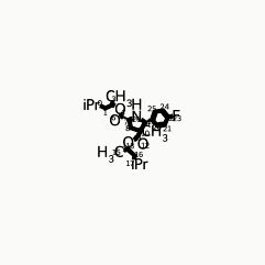 CC(C)CC(C)OC(=O)[C@@H]1C[C@](C)(C(=O)OC(C)CC(C)C)[C@H](c2ccc(F)cc2)N1